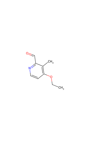 CCOc1ccnc(C=O)c1C